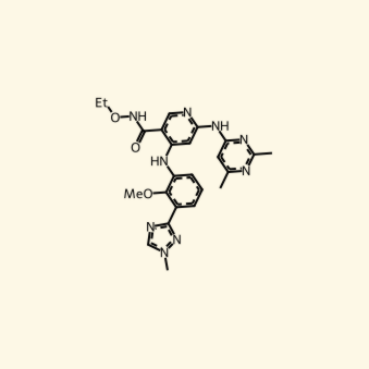 CCONC(=O)c1cnc(Nc2cc(C)nc(C)n2)cc1Nc1cccc(-c2ncn(C)n2)c1OC